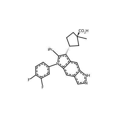 CC(C)c1c([C@@H]2CC[C@@](C)(C(=O)O)C2)c2cc3[nH]ncc3cc2n1-c1ccc(F)c(F)c1